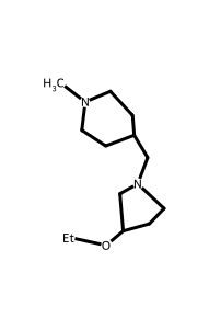 CCOC1CCN(CC2CCN(C)CC2)C1